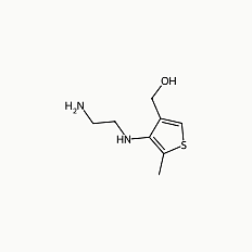 Cc1scc(CO)c1NCCN